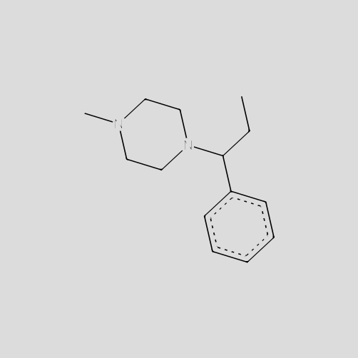 C[CH]C(c1ccccc1)N1CCN(C)CC1